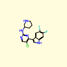 Fc1cc2[nH]cc(-c3nc(NC4CCCNC4)ncc3Cl)c2cc1F